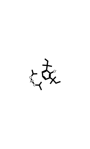 CC(C)[O][Al+][O]C(C)C.CCC(C)(C)c1cccc(C(C)(C)CC)c1[O-]